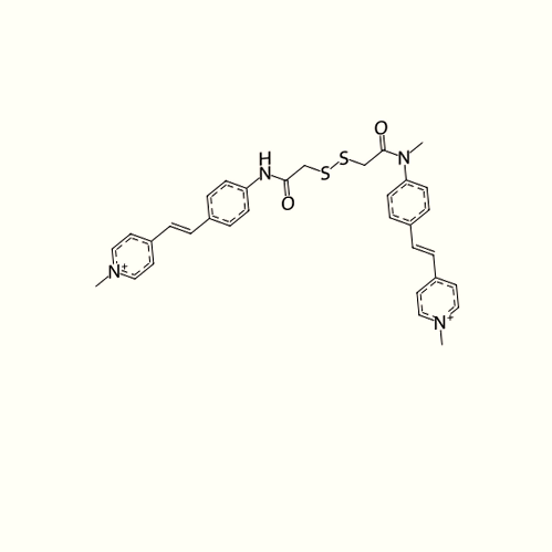 CN(C(=O)CSSCC(=O)Nc1ccc(/C=C/c2cc[n+](C)cc2)cc1)c1ccc(/C=C/c2cc[n+](C)cc2)cc1